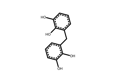 Oc1cccc(Cc2cccc(O)c2O)c1O